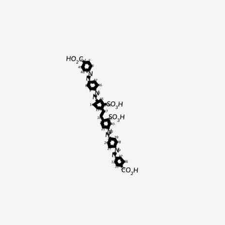 O=C(O)c1ccc(N=Nc2ccc(N=Nc3ccc(C=Cc4ccc(N=Nc5ccc(N=Nc6ccc(C(=O)O)cc6)cc5)cc4S(=O)(=O)O)c(S(=O)(=O)O)c3)cc2)cc1